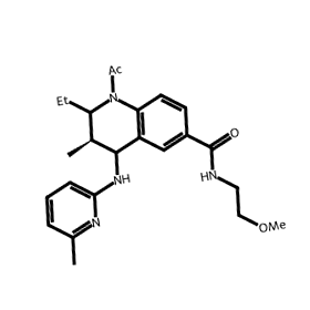 CCC1[C@H](C)C(Nc2cccc(C)n2)c2cc(C(=O)NCCOC)ccc2N1C(C)=O